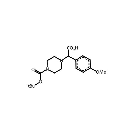 COc1ccc(C(C(=O)O)N2CCN(C(=O)OC(C)(C)C)CC2)cc1